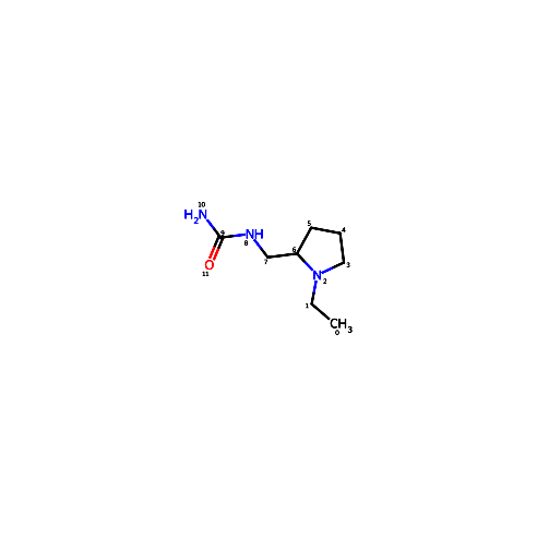 CCN1CCCC1CNC(N)=O